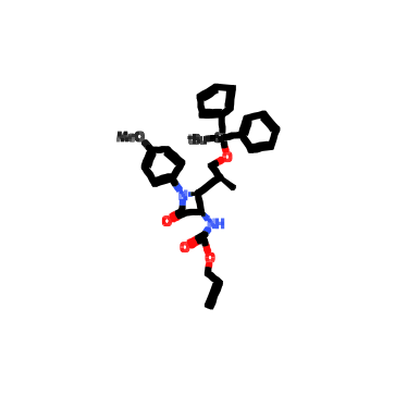 C=CCOC(=O)N[C@H]1C(=O)N(c2ccc(OC)cc2)[C@@H]1[C@H](C)CO[Si](c1ccccc1)(c1ccccc1)C(C)(C)C